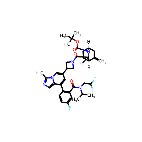 C=C1C[C@@H]2CC[C@H]1[C@H](C(=O)N1CC(c3cc(-c4ccc(F)cc4C(=O)N(CC(F)F)C(C)C)c4cnc(C)n4c3)C1)N2C(=O)OC(C)(C)C